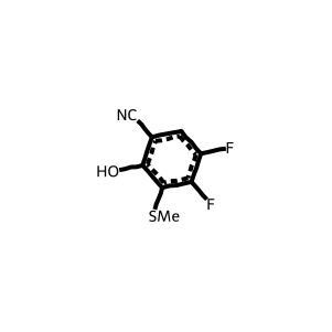 CSc1c(O)c(C#N)cc(F)c1F